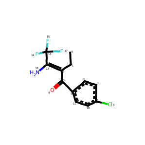 CC/C(C(=O)c1ccc(Cl)cc1)=C(/N)C(F)(F)F